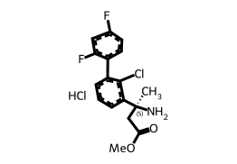 COC(=O)C[C@](C)(N)c1cccc(-c2ccc(F)cc2F)c1Cl.Cl